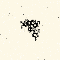 N#Cc1cnc2c(Cl)cc(NC(c3c[nH]nn3)c3ccc(F)nc3F)cc2c1Nc1cnc(F)c(F)c1